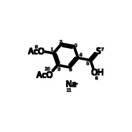 CC(=O)Oc1ccc(C(O)=S)cc1OC(C)=O.[Na]